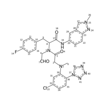 CN(CC(=O)N(CC=O)C(Cc1ccc(F)cc1)C(=O)Nc1ccc2nn(C)cc2c1)c1cc(Cl)ccc1-n1cnnn1